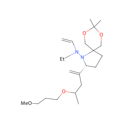 C=CN(CC)N1[C@@H](C(=C)CC(C)OCCCOC)CCC12COC(C)(C)OC2